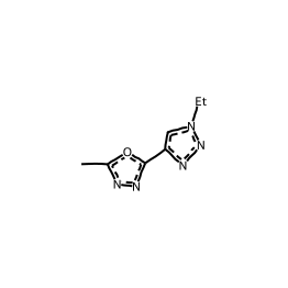 CCn1cc(-c2nnc(C)o2)nn1